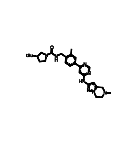 Cc1cc(-c2cc(Nc3cc4n(n3)CCN(C)C4)ncn2)ccc1CNC(=O)N1CCC(C(C)(C)C)C1